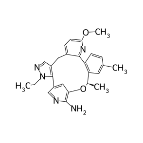 CCn1ncc2c1-c1cnc(N)c(c1)O[C@H](C)c1cc(C)ccc1-c1nc(OC)ccc1C2